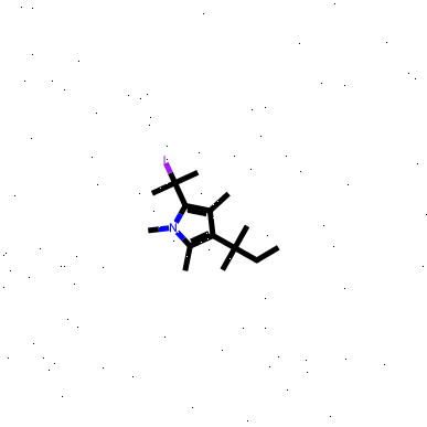 CCC(C)(C)c1c(C)c(C(C)(C)I)n(C)c1C